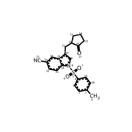 Cc1ccc(S(=O)(=O)n2cc(CC3CCCC3=O)c3cc(C#N)ccc32)cc1